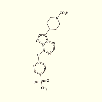 CS(=O)(=O)c1ccc(Oc2ncnc3c(C4CCN(C(=O)O)CC4)coc23)cc1